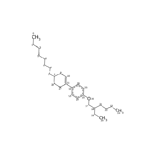 CCCCCCCCC1CC=C(c2ccc(OCC(CC)CCCC)cc2)CC1